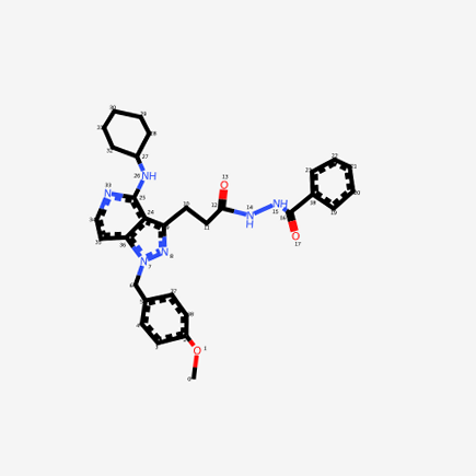 COc1ccc(Cn2nc(CCC(=O)NNC(=O)c3ccccc3)c3c(NC4CCCCC4)nccc32)cc1